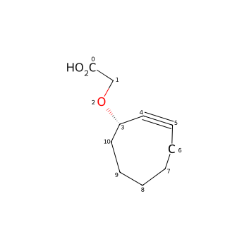 O=C(O)CO[C@@H]1C#CCCCCC1